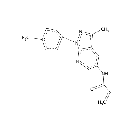 C=CC(=O)Nc1cnc2c(c1)c(C)nn2-c1ccc(C(F)(F)F)cc1